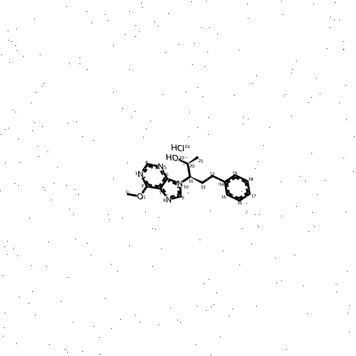 COc1ncnc2c1ncn2[C@H](CCc1ccccc1)[C@H](C)O.Cl